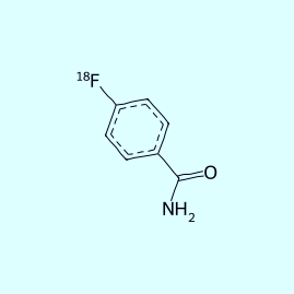 NC(=O)c1ccc([18F])cc1